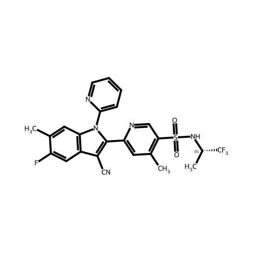 Cc1cc2c(cc1F)c(C#N)c(-c1cc(C)c(S(=O)(=O)N[C@@H](C)C(F)(F)F)cn1)n2-c1ccccn1